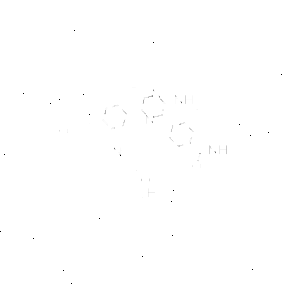 COC1CCN(Cc2cc(-c3nc(-c4ccc5c(c4)CCNC5=O)c(N)nc3F)ccc2C2CCOCC2)CC1